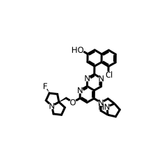 Oc1cc(-c2ncc3c(N4CC5CCC(C4)N5)cc(OC[C@@]45CCCN4C[C@H](F)C5)nc3n2)c2c(Cl)cccc2c1